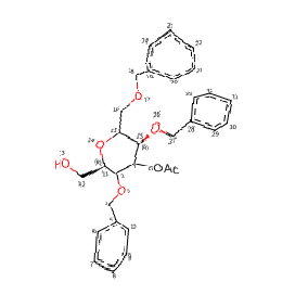 CC(=O)OC1C(OCc2ccccc2)[C@@H](CO)OC(COCc2ccccc2)[C@H]1OCc1ccccc1